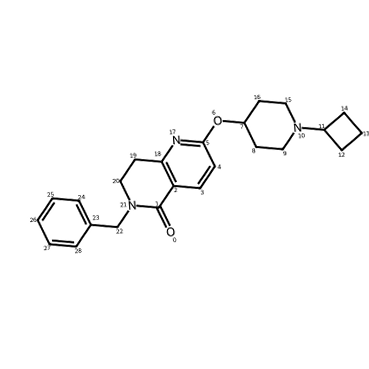 O=C1c2ccc(OC3CCN(C4CCC4)CC3)nc2CCN1Cc1ccccc1